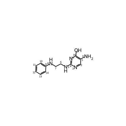 Nc1cnc(NCCNc2ccccc2)nc1O